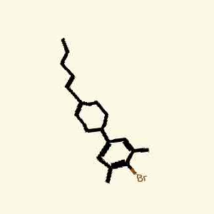 CCCCCC1CCC(c2cc(C)c(Br)c(C)c2)CC1